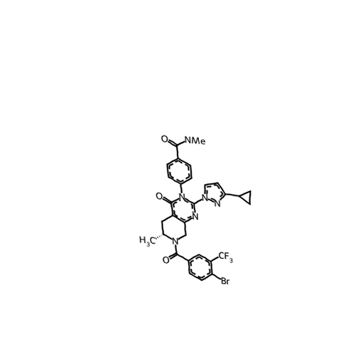 CNC(=O)c1ccc(-n2c(-n3ccc(C4CC4)n3)nc3c(c2=O)C[C@@H](C)N(C(=O)c2ccc(Br)c(C(F)(F)F)c2)C3)cc1